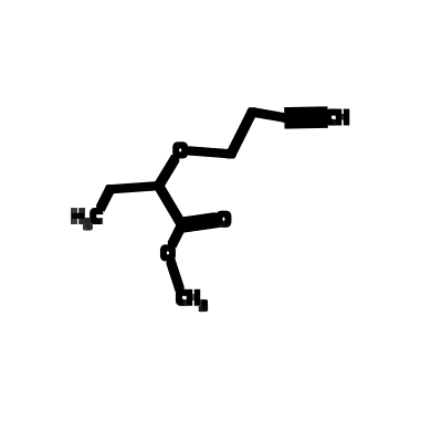 C#CCCOC(CC)C(=O)OC